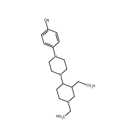 N#Cc1ccc(N2CCN(C3CCN(CC(=O)O)CC3CC(=O)O)CC2)cc1